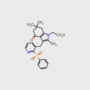 Cc1c(Cc2cccnc2S(=O)(=O)c2ccccc2)c2c(n1CC(=O)O)CC(C)(C)CC2=O